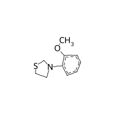 COc1ccccc1N1CCSC1